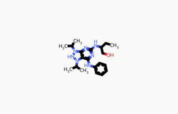 CCC(CO)Nc1nc(Nc2ccccc2)c2c(n1)N(C(C)C)NN2C(C)C